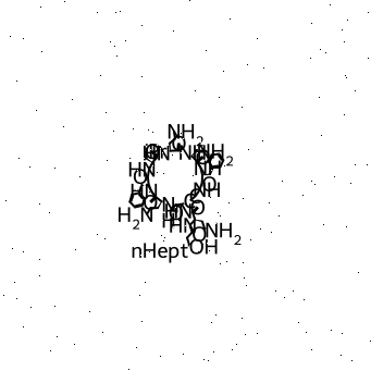 CCCCCCC[C@@H](O)CC(=O)N[C@H](CCN)C(=O)N[C@H]1CCNC(=O)[C@H](Cc2ccccc2)NC(=O)[C@H](CN)NC(=O)[C@H](CCN)NC(=O)[C@H](CC(C)C)NC(=O)[C@@H](Cc2ccccc2)NC(=O)[C@H](CCN)NC1=O